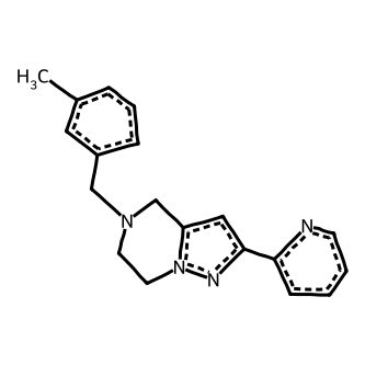 Cc1cccc(CN2CCn3nc(-c4ccccn4)cc3C2)c1